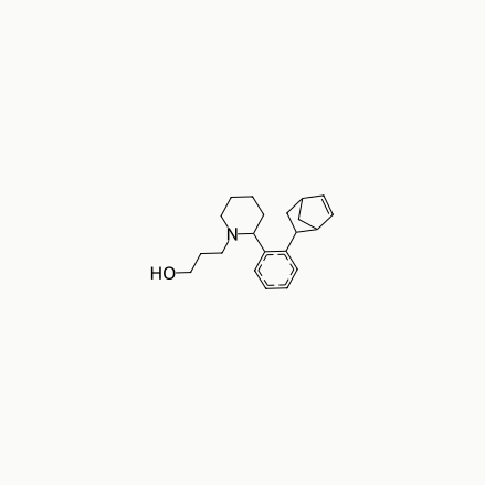 OCCCN1CCCCC1c1ccccc1C1CC2C=CC1C2